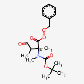 CC(C=O)[C@@](C)(C(=O)OOCc1ccccc1)N(C)C(=O)OC(C)(C)C